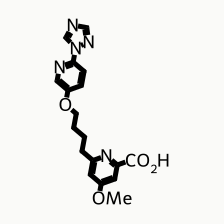 COc1cc(CCCCOc2ccc(-n3cncn3)nc2)nc(C(=O)O)c1